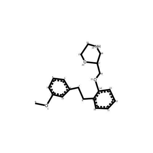 COc1cccc(CCc2ccccc2OCC2CNCCO2)c1